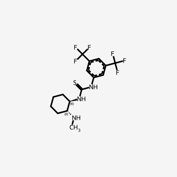 CN[C@@H]1CCCC[C@H]1NC(=S)Nc1cc(C(F)(F)F)cc(C(F)(F)F)c1